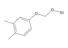 CCOCOc1ccc(C)c(C)c1